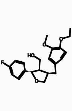 CCOc1ccc(C[C@H]2CO[C@H](c3ccc(F)cc3)[C@H]2CO)cc1OC